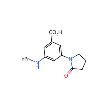 CCCNc1cc(C(=O)O)cc(N2CCCC2=O)c1